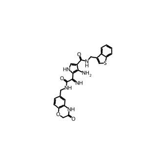 N=C(C(=O)NCc1ccc2c(c1)NC(=O)CO2)c1[nH]cc(C(=O)NCc2csc3ccccc23)c1N